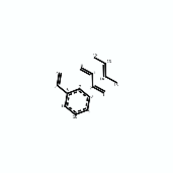 C=CC=C.C=Cc1ccccc1.CC=CC